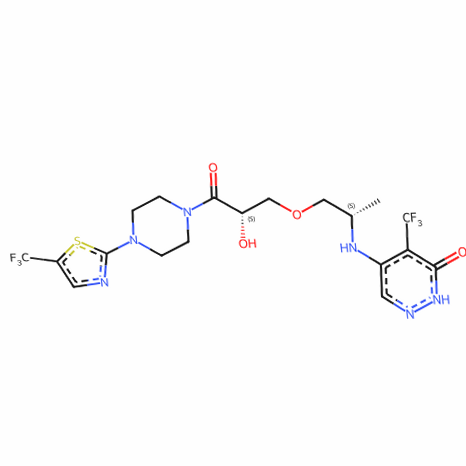 C[C@@H](COC[C@H](O)C(=O)N1CCN(c2ncc(C(F)(F)F)s2)CC1)Nc1cn[nH]c(=O)c1C(F)(F)F